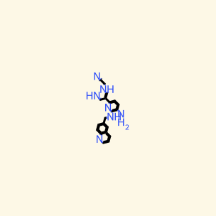 N#CCN/C=C(\C=N)c1ccc(N)c(NCc2ccc3ncccc3c2)n1